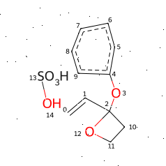 C=CC1(Oc2ccccc2)CCO1.O=S(=O)(O)O